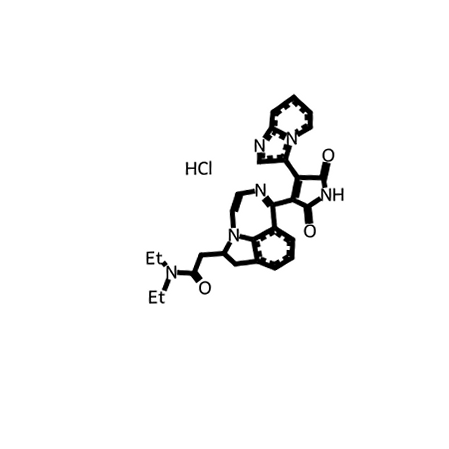 CCN(CC)C(=O)CC1Cc2cccc3c2N1C=CN=C3C1=C(c2cnc3ccccn23)C(=O)NC1=O.Cl